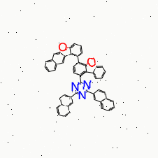 C1=CC2=CC(c3nc(-c4ccc5ccccc5c4)nc(-c4ccc(-c5cccc6oc7cc8ccccc8cc7c56)c5oc6ccccc6c45)n3)=CCC2C=C1